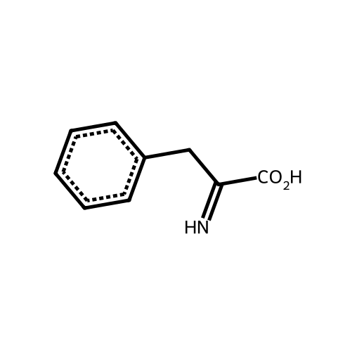 N=C(Cc1ccccc1)C(=O)O